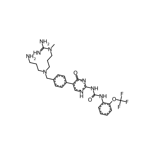 CN(CCCN(CCCN)Cc1ccc(-c2c[nH]c(NC(=O)Nc3ccccc3OC(F)(F)F)nc2=O)cc1)C(=N)N